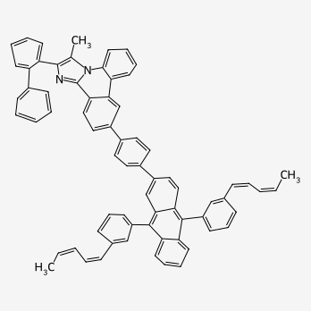 C/C=C\C=C/c1cccc(-c2c3ccccc3c(-c3cccc(/C=C\C=C/C)c3)c3cc(-c4ccc(-c5ccc6c(c5)c5ccccc5n5c(C)c(-c7ccccc7-c7ccccc7)nc65)cc4)ccc23)c1